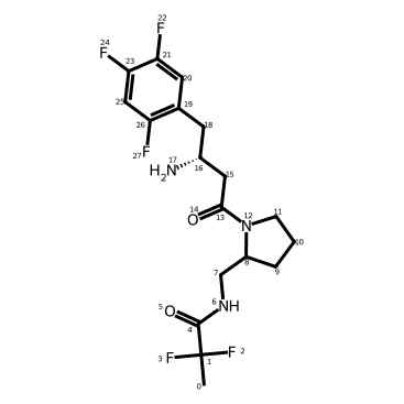 CC(F)(F)C(=O)NCC1CCCN1C(=O)C[C@H](N)Cc1cc(F)c(F)cc1F